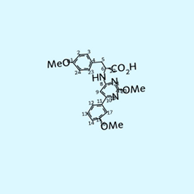 COc1ccc(C[C@H](Nc2cc(-c3cccc(OC)c3)nc(OC)n2)C(=O)O)cc1